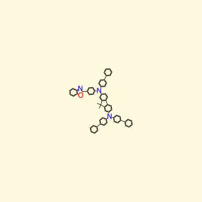 CC1(C)c2cc(N(c3ccc(-c4ccccc4)cc3)c3ccc(-c4ccccc4)cc3)ccc2-c2ccc(N(c3ccc(-c4ccccc4)cc3)c3ccc(-c4nc5ccccc5o4)cc3)cc21